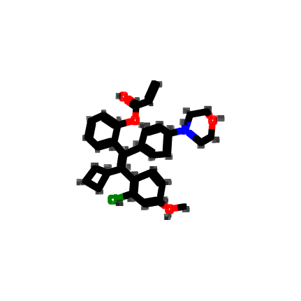 C=CC(=O)Oc1ccccc1/C(=C(/c1ccc(OC)cc1Cl)C1CCC1)c1ccc(N2CCOCC2)cc1